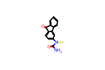 NC(=O)N(S)c1ccc2c(c1)-c1ccccc1C2=O